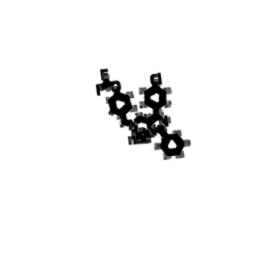 CCCCN(Cc1ccc(OC(F)F)cc1)Cc1c(-c2ccc(Cl)cc2)nc(-c2ccccc2)n1CCCC